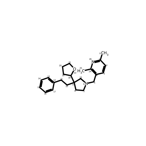 Cc1ccc(CN2CCC(CCc3ccccc3)(C3CCCO3)C2)c(C)n1